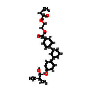 C=C(C)C(=O)Oc1ccc(-c2cccc(-c3ccc(C(=O)OCCOC(=O)CC)cc3)c2)cc1